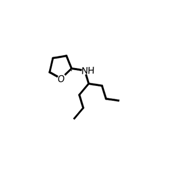 CCCC(CCC)N[C]1CCCO1